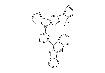 CC1(C)c2ccccc2-c2cc3c4ccccc4n(-c4cccc(-c5c6ccccc6nc6c5sc5ccccc56)c4)c3cc21